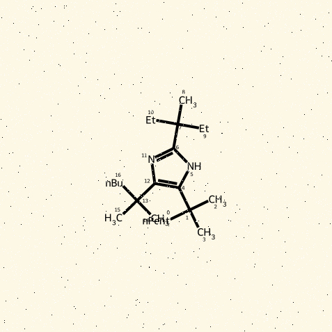 CCCCCC(C)(C)c1[nH]c(C(C)(CC)CC)nc1C(C)(C)CCCC